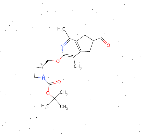 Cc1nc(OC[C@@H]2CCN2C(=O)OC(C)(C)C)c(C)c2c1CC(C=O)C2